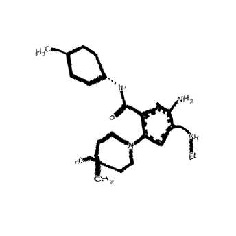 CCNc1cc(N2CCC(C)(O)CC2)c(C(=O)N[C@H]2CC[C@H](C)CC2)cc1N